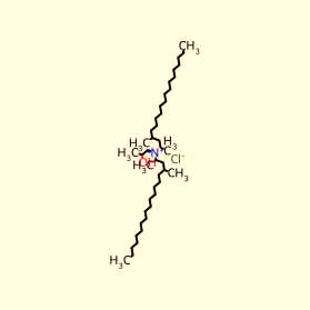 CCCCCCCCCCCCCCCC(C)CC(C)[N+](=CC(C)O)C(C)CC(C)CCCCCCCCCCCCCCC.[Cl-]